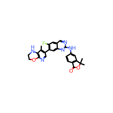 Cc1c(-c2cc3nc(Nc4ccc5c(c4)C(C)(C)OC5=O)ncc3cc2F)cnc2c1NCCO2